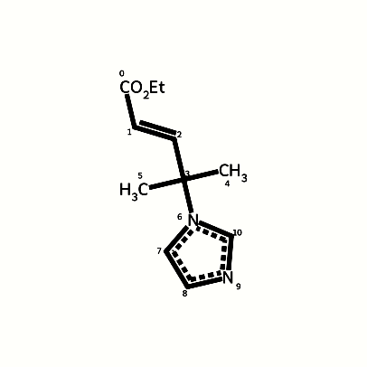 CCOC(=O)C=CC(C)(C)n1ccnc1